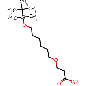 CC(C)(C)[Si](C)(C)OCCCCCCOCCC(=O)O